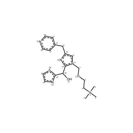 C[Si](C)(C)CCOCn1cc(Cc2ccncc2)nc1C(O)c1nccs1